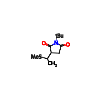 CSC(C)C1CC(=O)N(C(C)(C)C)C1=O